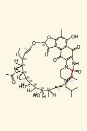 CO[C@H]1/C=C/O[C@@]2(C)Oc3c(C)c(O)c4c(c3C2=O)C(=O)C(N2CCN(CC(C)C)CC2)=C(NC(=O)/C(C)=C\C=C\[C@H](C)[C@H](O)[C@@H](C)[C@@H](O)[C@@H](C)[C@H](OC(C)=O)[C@@H]1C)C4=O